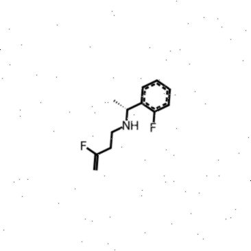 C=C(F)CCN[C@H](C)c1ccccc1F